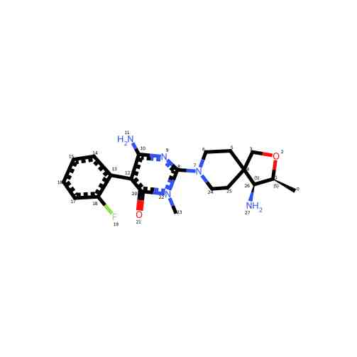 C[C@@H]1OCC2(CCN(c3nc(N)c(-c4ccccc4F)c(=O)n3C)CC2)[C@@H]1N